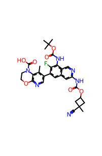 Cc1c(-c2cc3cc(NC(=O)OC4CC(C)(C#N)C4)ncc3c(NC(=O)OC(C)(C)C)c2F)cnc2c1N(C(=O)O)CCO2